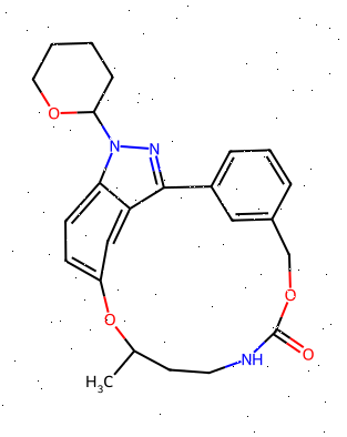 CC1CCNC(=O)OCc2cccc(c2)-c2nn(C3CCCCO3)c3ccc(cc23)O1